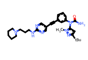 Cn1nc(C(C)(C)C)cc1N(C(N)=O)c1cccc(C#Cc2cnc(NCCCN3CCCCC3)nc2)c1